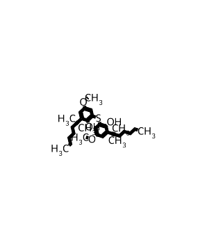 CCCCCC(C)(C)c1cc(OC)cc(Sc2cc(OC)cc(C(C)(C)CCCCC)c2O)c1O